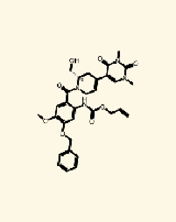 C=CCOC(=O)Nc1cc(OCc2ccccc2)c(OC)cc1C(=O)N1CC=C(c2cn(C)c(=O)n(C)c2=O)C[C@H]1CO